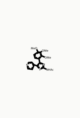 COc1ccc(-c2nc(NC(C)=O)sc2-c2ccncc2)c(OC)c1OC